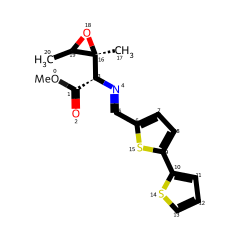 COC(=O)[C@@H](/N=C/c1ccc(-c2cccs2)s1)[C@]1(C)OC1C